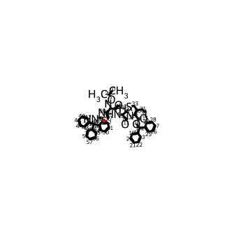 CC(C)O/N=C(\C(=O)NC1C(=O)N2C(C(=O)OC(c3ccccc3)c3ccccc3)=C(CI)CS[C@H]12)c1csc(NC(c2ccccc2)(c2ccccc2)c2ccccc2)n1